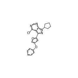 Clc1ncnc2c1c(-c1cc(Oc3ccccc3)co1)nn2C1CCCC1